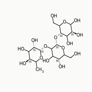 CC1O[C@@H](OC2C(O)[C@@H](O)C(CO)O[C@H]2O[C@@H]2C(CO)OC(O)[C@@H](O)C2O)[C@@H](O)C(O)[C@@H]1O